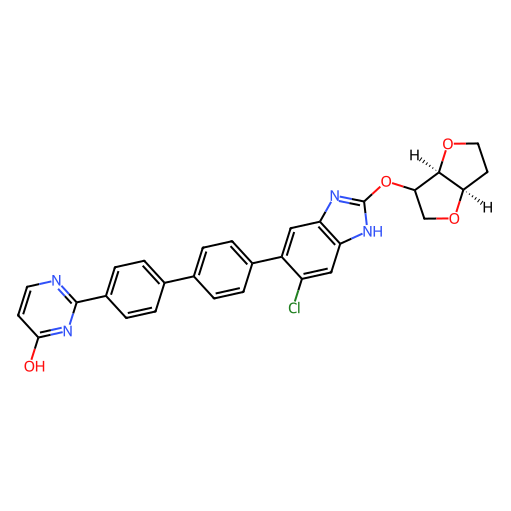 Oc1ccnc(-c2ccc(-c3ccc(-c4cc5nc(OC6CO[C@@H]7CCO[C@H]67)[nH]c5cc4Cl)cc3)cc2)n1